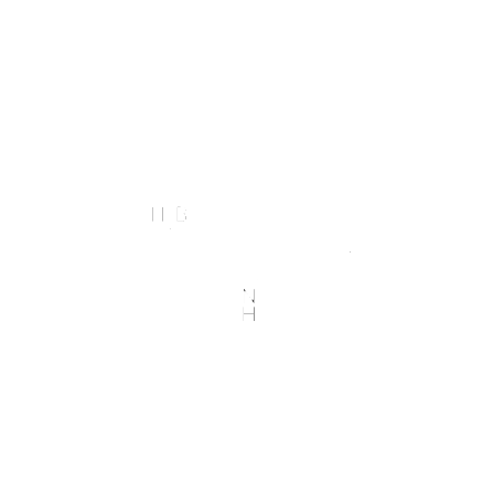 BC1=CC=CCN1